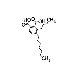 CCCCCCCc1ccc(C(=O)O)c(C(=O)O)c1CCCC